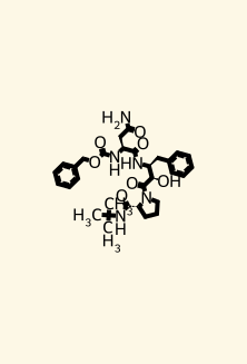 CC(C)(C)NC(=O)[C@H]1CCCN1C(=O)[C@@H](O)[C@H](Cc1ccccc1)NC(=O)[C@H](CC(N)=O)NC(=O)OCc1ccccc1